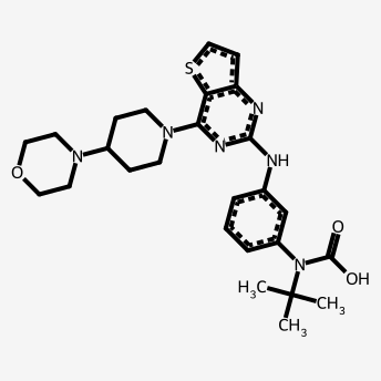 CC(C)(C)N(C(=O)O)c1cccc(Nc2nc(N3CCC(N4CCOCC4)CC3)c3sccc3n2)c1